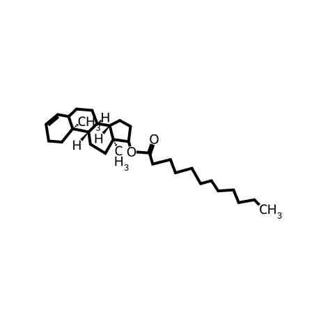 CCCCCCCCCCCC(=O)OC1CC[C@H]2[C@@H]3CCC4C=CCC[C@]4(C)[C@H]3CC[C@]12C